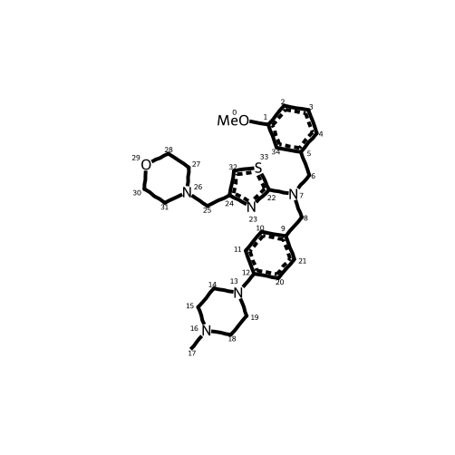 COc1cccc(CN(Cc2ccc(N3CCN(C)CC3)cc2)c2nc(CN3CCOCC3)cs2)c1